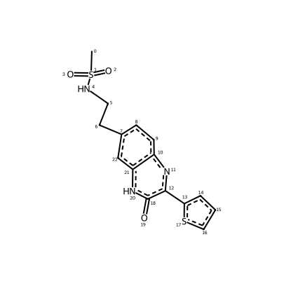 CS(=O)(=O)NCCc1ccc2nc(-c3cccs3)c(=O)[nH]c2c1